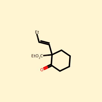 CC/C=C/C1(C(=O)OCC)CCCCC1=O